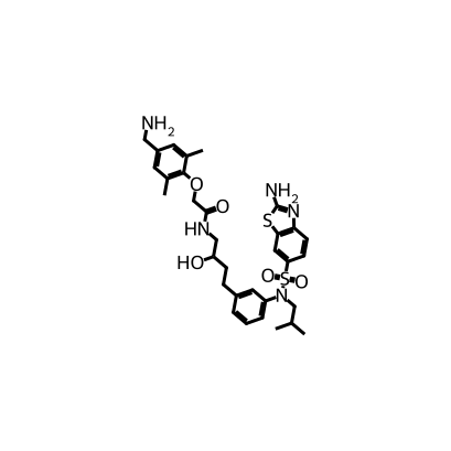 Cc1cc(CN)cc(C)c1OCC(=O)NCC(O)CCc1cccc(N(CC(C)C)S(=O)(=O)c2ccc3nc(N)sc3c2)c1